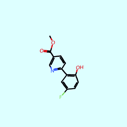 COC(=O)c1ccc(-c2cc(F)ccc2O)nc1